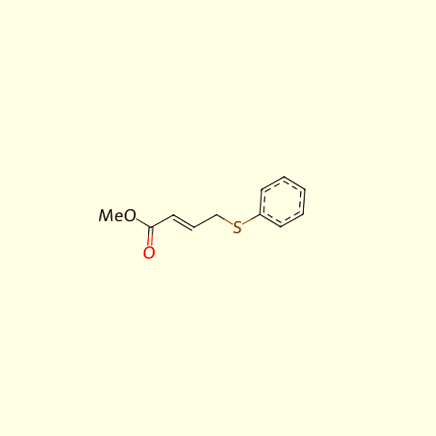 COC(=O)C=CCSc1ccccc1